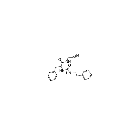 N#CCNC(=O)C(Cc1ccccc1)NC(=O)NCCc1ccccc1